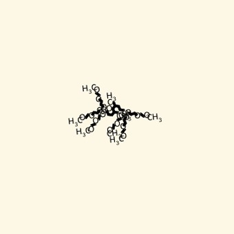 CCC(CCC[Si](OCCOCCOC)(OCCOCCOC)OCCOCCOC)C(=O)C(CC)CCC[Si](OCCOCCOC)(OCCOCCOC)OCCOCCOC